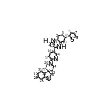 Nc1ccc(-c2cccs2)cc1NC(=O)c1ccc(N2CCC3(CC2)COc2ccccc23)nc1